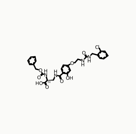 O=C(NCCOc1ccc(C(=O)NC[C@H](NC(=O)OCc2ccccc2)C(=O)O)c(O)c1)NCc1ccccc1Cl